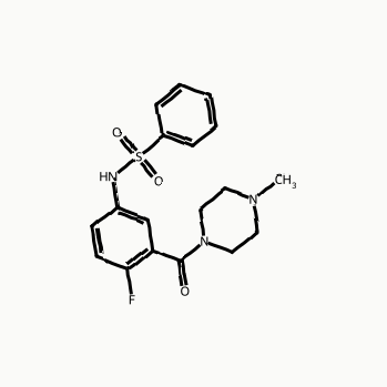 CN1CCN(C(=O)c2cc(NS(=O)(=O)c3ccccc3)ccc2F)CC1